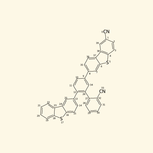 N#Cc1ccc2sc3cc(-c4ccc(-c5ccc6sc7ccccc7c6c5)c(-c5ccccc5C#N)c4)ccc3c2c1